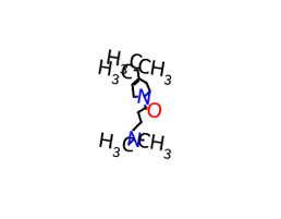 CN(C)CCCC(=O)N1CC=C(C(C)(C)C)CC1